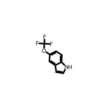 FC(F)(F)Oc1ccc2[nH]c[c]c2c1